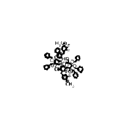 COc1ccc(Cc2cc([C@]3(OC)OC(CO)(CO)[C@@H](OCc4ccccc4)[C@H](OCc4ccccc4)[C@H]3OCc3ccccc3)ccc2Cl)c(F)c1F.COc1ccc(Cc2cc([C@]34OC[C@@](CO)(O3)[C@H](OCc3ccccc3)[C@H](OCc3ccccc3)[C@@H]4OCc3ccccc3)ccc2Cl)c(F)c1F